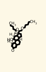 CCCCCOCC(=O)[C@@]1(OCCCCC)CC[C@H]2C3=C(C(O)C[C@@]21C)[C@@]1(C)C=CC(=O)C=C1CC3